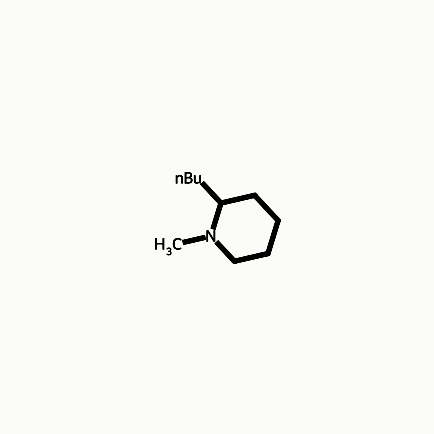 [CH2]CCCC1CCCCN1C